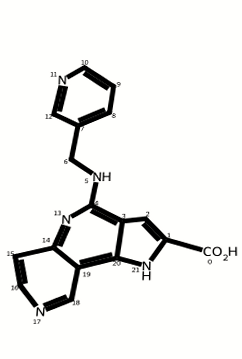 O=C(O)c1cc2c(NCc3cccnc3)nc3ccncc3c2[nH]1